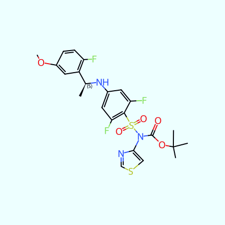 COc1ccc(F)c([C@H](C)Nc2cc(F)c(S(=O)(=O)N(C(=O)OC(C)(C)C)c3cscn3)c(F)c2)c1